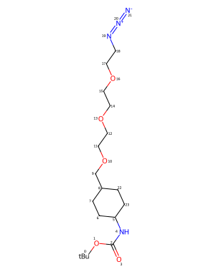 CC(C)(C)OC(=O)NC1CCC(COCCOCCOCCN=[N+]=[N-])CC1